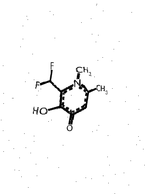 Cc1cc(=O)c(O)c(C(F)F)n1C